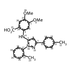 COc1cc(Nc2cc(-c3ccc(C)cc3)nn2-c2ccccc2C)c(C(=O)O)cc1OC